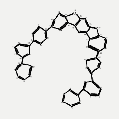 c1ccc(-c2cccc(-c3ccc(-c4ccc5oc6cc7oc8ccc(-c9ccc(-c%10cccc(-c%11ccccc%11)c%10)cc9)cc8c7cc6c5c4)cc3)c2)cc1